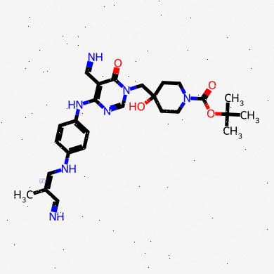 C/C(C=N)=C/Nc1ccc(Nc2ncn(CC3(O)CCN(C(=O)OC(C)(C)C)CC3)c(=O)c2C=N)cc1